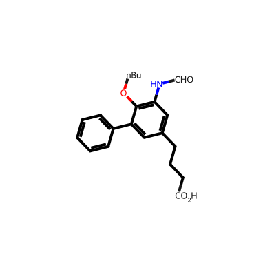 CCCCOc1c(NC=O)cc(CCCC(=O)O)cc1-c1ccccc1